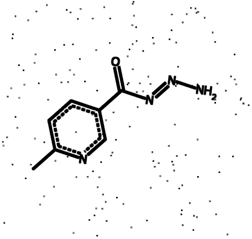 Cc1ccc(C(=O)N=NN)cn1